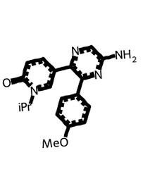 COc1ccc(-c2nc(N)cnc2-c2ccc(=O)n(C(C)C)c2)cc1